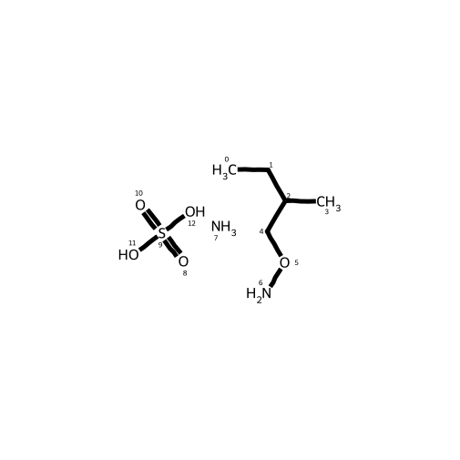 CCC(C)CON.N.O=S(=O)(O)O